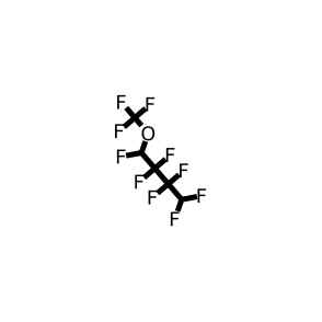 FC(F)C(F)(F)C(F)(F)C(F)OC(F)(F)F